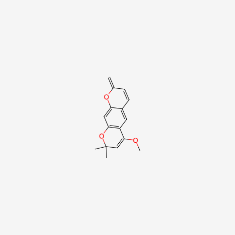 C=C1C=Cc2cc3c(cc2O1)OC(C)(C)C=C3OC